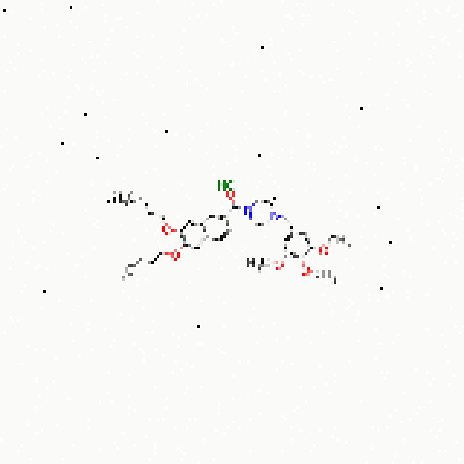 CCCCOc1cc2ccc(C(=O)N3CCN(Cc4cc(OC)c(OC)c(OC)c4)CC3)cc2cc1OCCCC.Cl